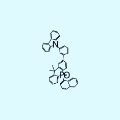 CC1(C)c2ccccc2P(=O)(c2cccc3ccccc23)c2ccc(-c3cccc(-n4c5ccccc5c5ccccc54)c3)cc21